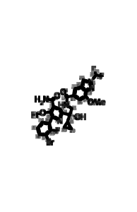 CCOc1c(C(N)=O)cc([C@@](O)(CNC(=O)c2cc(OC)c3nn(C(F)F)cc3c2)C2CC2)nc1-c1cccc(Br)c1F